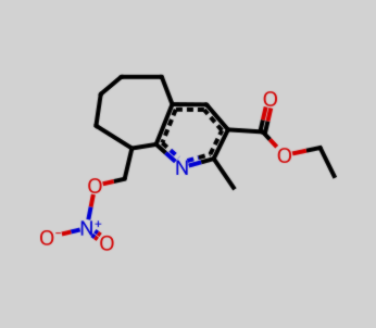 CCOC(=O)c1cc2c(nc1C)C(CO[N+](=O)[O-])CCCC2